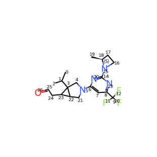 CC(C)C12CN(c3cc(C(F)(F)F)nc(N4CC[C@@H]4C)n3)CC1C2CC=O